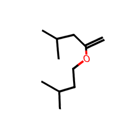 C=C(CC(C)C)OCCC(C)C